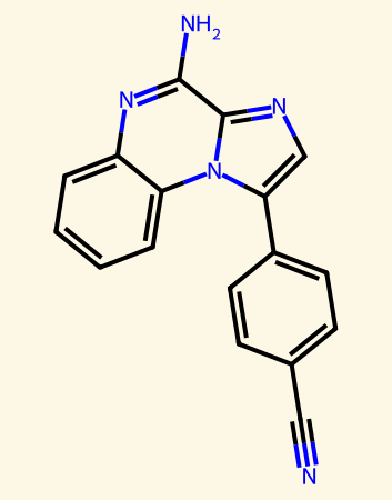 N#Cc1ccc(-c2cnc3c(N)nc4ccccc4n23)cc1